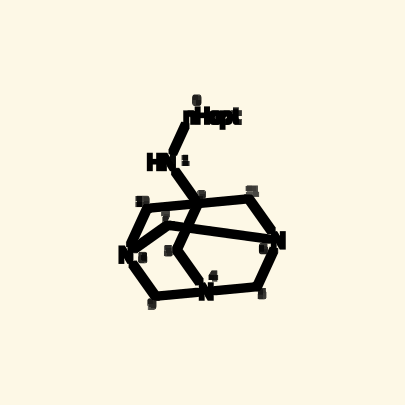 CCCCCCCNC12CN3CN(CN(C3)C1)C2